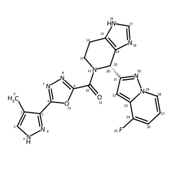 Cc1c[nH]nc1-c1nnc(C(=O)N2CCc3[nH]cnc3[C@@H]2c2cc3c(F)cccn3n2)o1